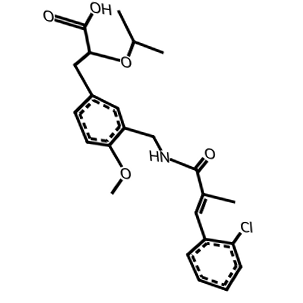 COc1ccc(CC(OC(C)C)C(=O)O)cc1CNC(=O)C(C)=Cc1ccccc1Cl